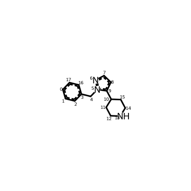 c1ccc(Cn2nccc2C2CCNCC2)cc1